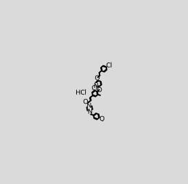 COc1ccc(CN2CCN(C(=O)/C=C/c3cc(C)c(Oc4ccc(OCCc5ccc(Cl)cc5)cn4)c(Cl)c3)CC2)cc1.Cl